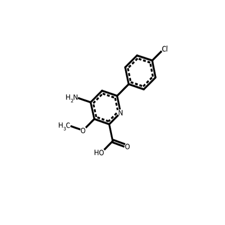 COc1c(N)cc(-c2ccc(Cl)cc2)nc1C(=O)O